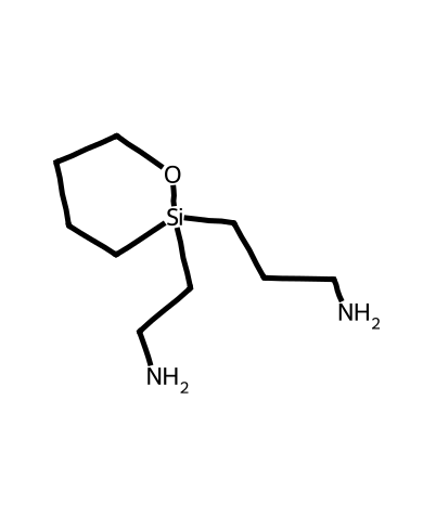 NCCC[Si]1(CCN)CCCCO1